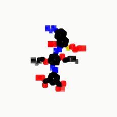 CCOc1cc(N=Nc2c(SOOO)cc3ccc(N)cc3c2O)c(OCC)cc1N=Nc1cc(C(=O)O)cc(C(=O)O)c1